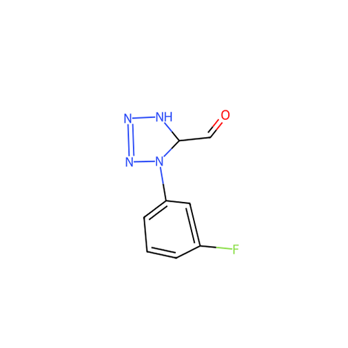 O=CC1NN=NN1c1cccc(F)c1